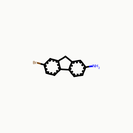 Nc1ccc2c(c1)Cc1cc(Br)ccc1-2